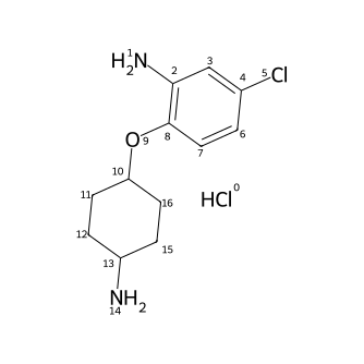 Cl.Nc1cc(Cl)ccc1OC1CCC(N)CC1